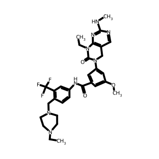 CCN1CCN(Cc2ccc(NC(=O)c3cc(OC)cc(N4Cc5cnc(NC)nc5N(CC)C4=O)c3)cc2C(F)(F)F)CC1